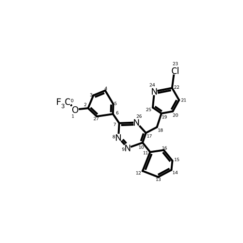 FC(F)(F)Oc1cccc(-c2nnc(-c3ccccc3)c(Cc3ccc(Cl)nc3)n2)c1